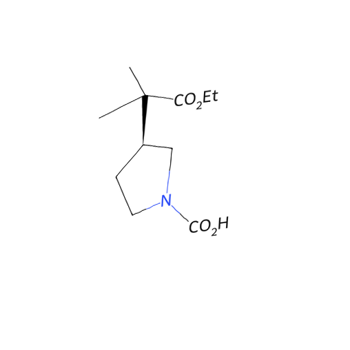 CCOC(=O)C(C)(C)[C@@H]1CCN(C(=O)O)C1